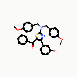 COc1ccc(CN(Cc2ccc(OC)cc2)c2nc(-c3cccc(Br)c3)c(C(=O)c3ccccc3)s2)cc1